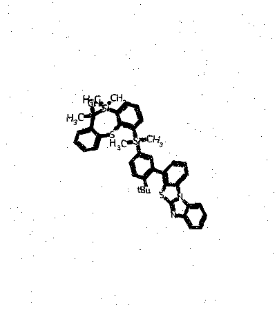 CC(C)(C)c1ccc([Si](C)(C)c2cccc3c2Sc2ccccc2C(C)(C)[Si]3(C)C)cc1-c1cccc2c1sc1nc3ccccc3n12